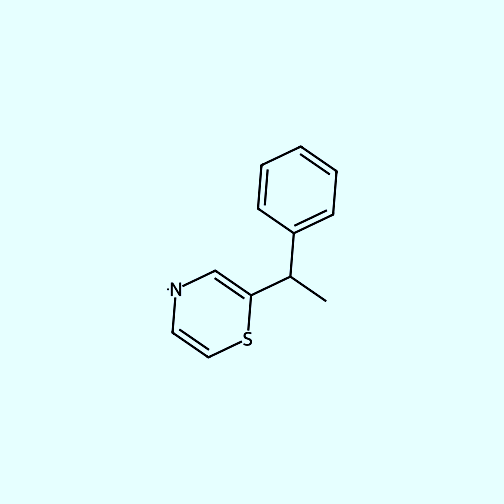 CC(C1=C[N]C=CS1)c1ccccc1